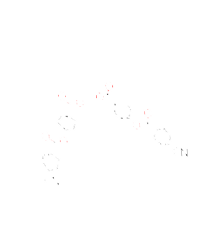 N#Cc1ccc(C(=O)Oc2ccc(C(=O)OCC(OC(=O)c3ccc(OC(=O)c4ccc(C#N)cc4)cc3)C3CCCCC3)cc2)cc1